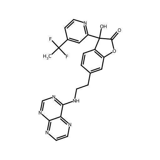 CC(F)(F)c1ccnc(C2(O)C(=O)Oc3cc(CCNc4ncnc5nccnc45)ccc32)c1